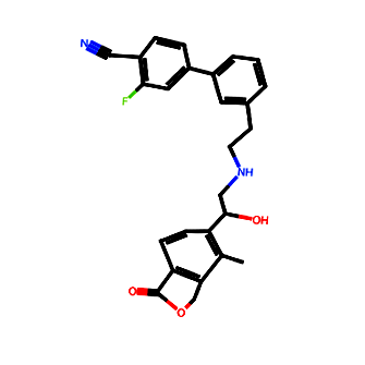 Cc1c(C(O)CNCCc2cccc(-c3ccc(C#N)c(F)c3)c2)ccc2c1COC2=O